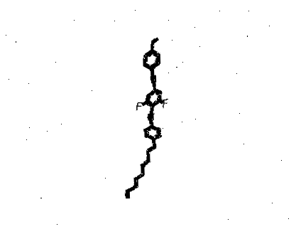 CCCCCCCCCc1ccc(C#Cc2c(F)cc(C#Cc3ccc(CC)cc3)cc2F)cc1